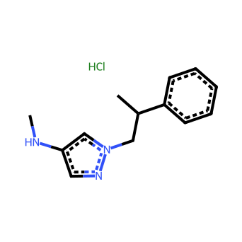 CNc1cnn(CC(C)c2ccccc2)c1.Cl